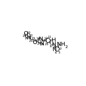 Nc1cccnc1NCc1cccc(-c2ncc(OCCN3CCOCC3)cn2)c1